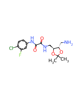 CC1(C)O[C@@H](CN)[C@H](CNC(=O)C(=O)Nc2ccc(Cl)c(F)c2)O1